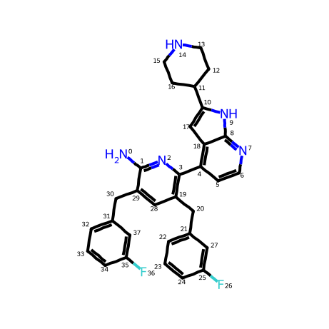 Nc1nc(-c2ccnc3[nH]c(C4CCNCC4)cc23)c(Cc2cccc(F)c2)cc1Cc1cccc(F)c1